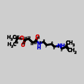 C=C(C)CNCCCCNC(=O)CCC(=O)OC(C)C